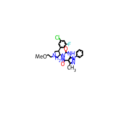 COCCN1CC(NC(=O)Nc2c(C(N)=O)c(C)nn2-c2ccccc2)C(c2cc(F)cc(Cl)c2)C1